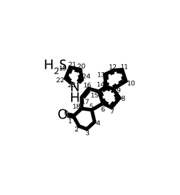 O=C1CCCC2c3ccc4ccccc4c3C=CC12.S.c1cc[nH]c1